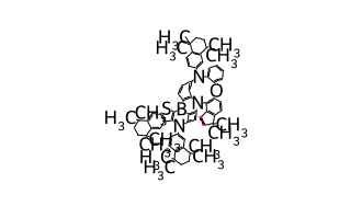 CC1(C)CCC(C)(C)c2cc(N3c4ccc5c(c4)N(c4cccc6c4B5c4sc5cc7c(cc5c4N6c4ccc5c(c4)C(C)(C)CCC5(C)C)C(C)(C)CCC7(C)C)c4c(ccc5c4-c4ccccc4C5(C)C)Oc4ccccc43)ccc21